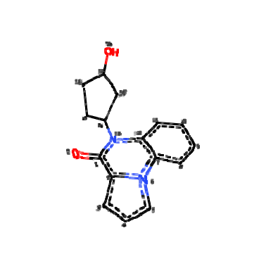 O=c1c2cccn2c2ccccc2n1C1CCC(O)C1